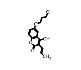 CC=Cc1c(O)c2cc(OCCCO)ccc2oc1=O